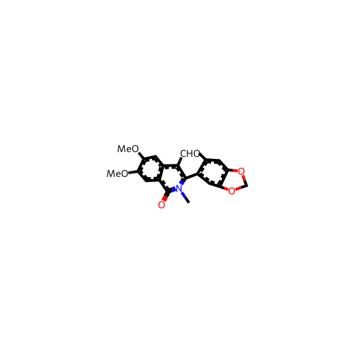 COc1cc2c(C=O)c(-c3cc4c(cc3C)OCO4)n(C)c(=O)c2cc1OC